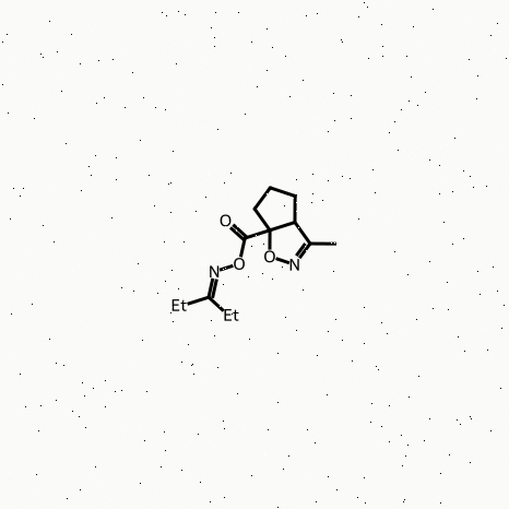 CCC(CC)=NOC(=O)C12CCCC1C(C)=NO2